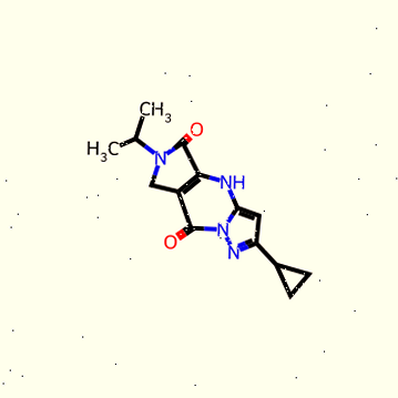 CC(C)N1Cc2c([nH]c3cc(C4CC4)nn3c2=O)C1=O